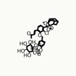 COC1(c2ccc(/C=C/C(C)=O)c(OCc3ccc(OP(=O)(O)O[C@@H]4[C@H](O)[C@H](O)[C@@H](O)[C@H](O)[C@H]4O)cc3)c2Cl)OOC12C1CC3CC(C1)CC2C3